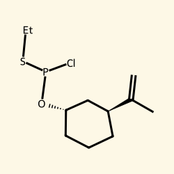 C=C(C)[C@H]1CCC[C@H](OP(Cl)SCC)C1